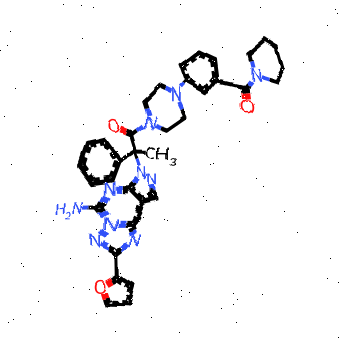 CC(C(=O)N1CCN(c2cccc(C(=O)N3CCCCC3)c2)CC1)(c1ccccc1)n1ncc2c1nc(N)n1nc(-c3ccco3)nc21